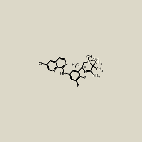 CC1(C)C(N)=N[C@@](C)(c2cc(Nc3nccc4cc(Cl)cnc34)cc(F)c2F)CS1(O)O